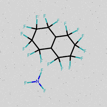 FC1(F)C2C(C(F)(F)C(F)(F)C1(F)F)C(F)(F)C(F)(F)C(F)(F)C2(F)F.FN(F)F